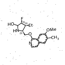 CC[C@@H]1[C@H](F)C(O)N[C@@H]1COc1nccc2cc(C)c(OC)cc12